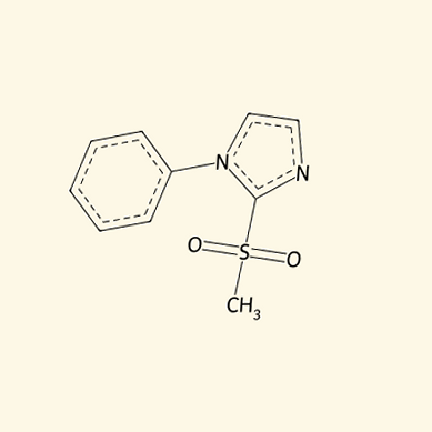 CS(=O)(=O)c1nccn1-c1ccccc1